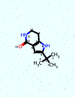 CC(C)(C)c1cc2c([nH]1)CCNC2=O